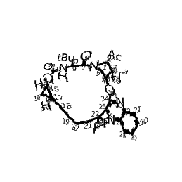 CC(=O)[C@@H]1[C@H](C)[C@@H]2CN1C(=O)[C@H](C(C)(C)C)NC(=O)O[C@@H]1C[C@H]1CCCCC(F)(F)c1nc3ccccc3nc1O2